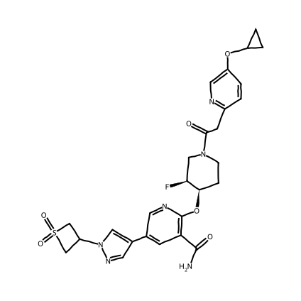 NC(=O)c1cc(-c2cnn(C3CS(=O)(=O)C3)c2)cnc1O[C@@H]1CCN(C(=O)Cc2ccc(OC3CC3)cn2)C[C@@H]1F